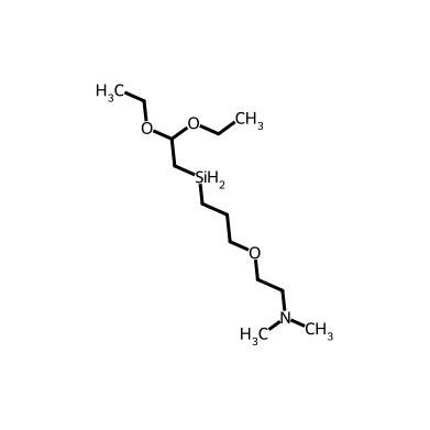 CCOC(C[SiH2]CCCOCCN(C)C)OCC